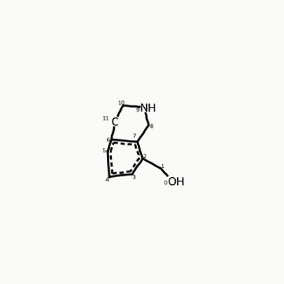 OCc1cccc2c1CNCC2